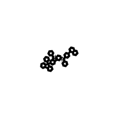 c1ccc(N(c2ccc(-c3cccc4ccccc34)cc2)c2ccc3c(c2)c2ccc(C4(c5ccccc5)c5ccccc5-c5ccccc54)cc2n3-c2ccccc2)cc1